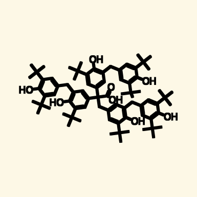 CC(C)(C)c1cc(CC(C(=O)O)(c2cc(Cc3cc(C(C)(C)C)c(O)c(C(C)(C)C)c3)c(O)c(C(C)(C)C)c2)c2cc(Cc3cc(C(C)(C)C)c(O)c(C(C)(C)C)c3)c(O)c(C(C)(C)C)c2)cc(Cc2cc(C(C)(C)C)c(O)c(C(C)(C)C)c2)c1O